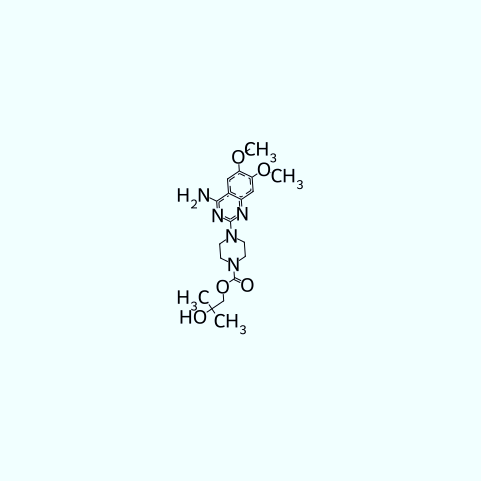 COc1cc2nc(N3CCN(C(=O)OCC(C)(C)O)CC3)nc(N)c2cc1OC